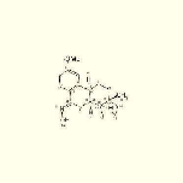 COc1[c]cc2c(c1)[C@H]1CC[C@]3(C)CCC[C@H]3[C@@H]1CC2=NO